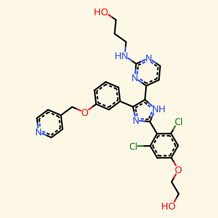 OCCCNc1nccc(-c2[nH]c(-c3c(Cl)cc(OCCO)cc3Cl)nc2-c2cccc(OCc3ccncc3)c2)n1